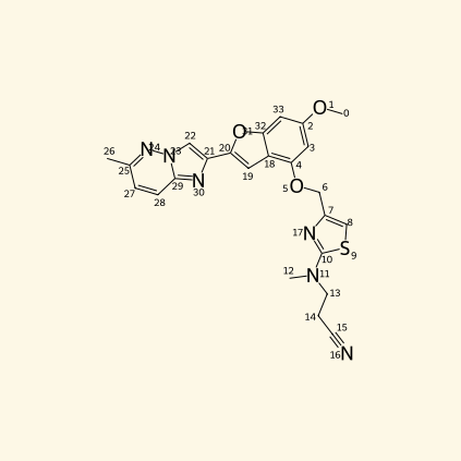 COc1cc(OCc2csc(N(C)CCC#N)n2)c2cc(-c3cn4nc(C)ccc4n3)oc2c1